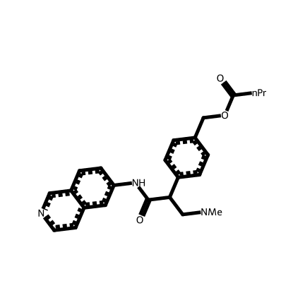 CCCC(=O)OCc1ccc(C(CNC)C(=O)Nc2ccc3cnccc3c2)cc1